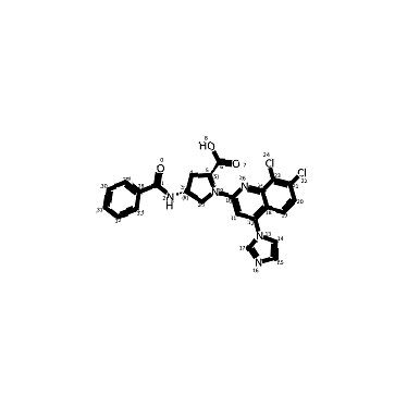 O=C(N[C@@H]1C[C@@H](C(=O)O)N(c2cc(-n3ccnc3)c3ccc(Cl)c(Cl)c3n2)C1)c1ccccc1